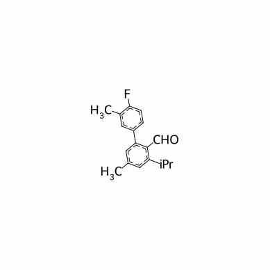 Cc1cc(-c2ccc(F)c(C)c2)c(C=O)c(C(C)C)c1